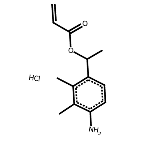 C=CC(=O)OC(C)c1ccc(N)c(C)c1C.Cl